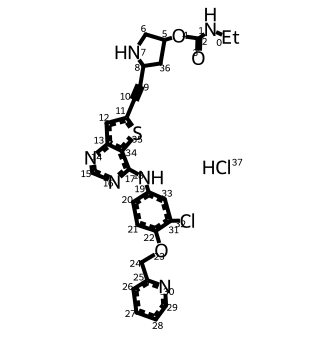 CCNC(=O)OC1CNC(C#Cc2cc3ncnc(Nc4ccc(OCc5ccccn5)c(Cl)c4)c3s2)C1.Cl